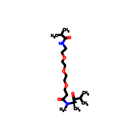 CC(C)C(=O)NCCOCCOCCOCCC(=O)N(C)[C@H](C)C(=O)C(C)C